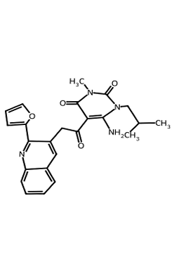 CC(C)Cn1c(N)c(C(=O)Cc2cc3ccccc3nc2-c2ccco2)c(=O)n(C)c1=O